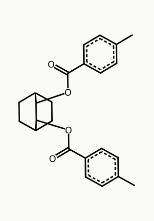 Cc1ccc(C(=O)OC2C3CCC(CC3)C2OC(=O)c2ccc(C)cc2)cc1